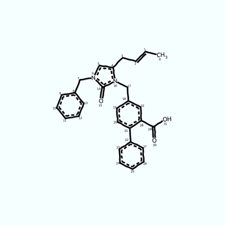 CC=CCc1cn(Cc2ccccc2)c(=O)n1Cc1ccc(-c2ccccc2)c(C(=O)O)c1